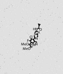 CO[C@H](C)[C@@H](OC)c1c(F)c(Cl)c(-c2cn3cc(NC(=O)C4CC4)nc3cn2)c2cn[nH]c12